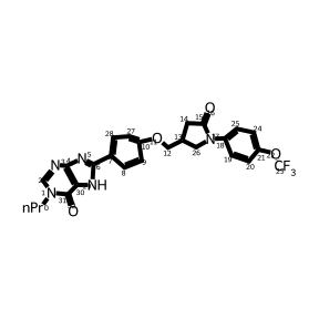 CCCn1cnc2nc(-c3ccc(OCC4CC(=O)N(c5ccc(OC(F)(F)F)cc5)C4)cc3)[nH]c2c1=O